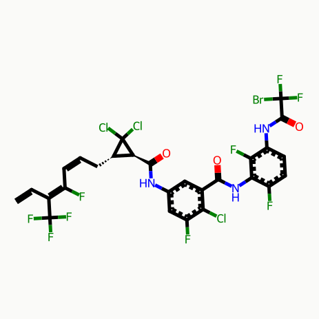 C=C/C(=C(F)\C=C/C[C@H]1[C@H](C(=O)Nc2cc(F)c(Cl)c(C(=O)Nc3c(F)ccc(NC(=O)C(F)(F)Br)c3F)c2)C1(Cl)Cl)C(F)(F)F